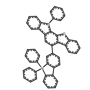 c1ccc(-n2c3ccccc3c3cc(-c4ccc5c(c4)[Si](c4ccccc4)(c4ccccc4)c4ccccc4-5)c4c5ccccc5oc4c32)cc1